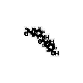 CC(=O)c1cn2cc(NC(=O)c3cc4cc(O)ccc4[nH]3)ccc2n1